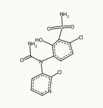 NC(=O)N(c1cccnc1Cl)c1ccc(Cl)c(S(N)(=O)=O)c1O